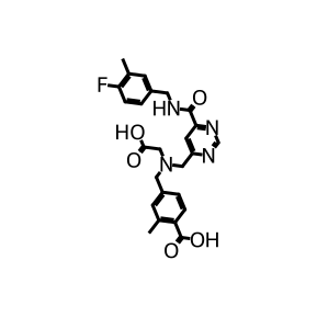 Cc1cc(CNC(=O)c2cc(CN(CC(=O)O)Cc3ccc(C(=O)O)c(C)c3)ncn2)ccc1F